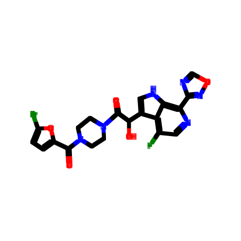 O=C(c1ccc(Br)o1)N1CCN(C(=O)C(O)c2c[nH]c3c(-c4ncon4)ncc(F)c23)CC1